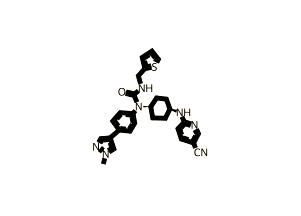 Cn1cc(-c2ccc(N(C(=O)NCc3cccs3)[C@H]3CC[C@H](Nc4ccc(C#N)cn4)CC3)cc2)cn1